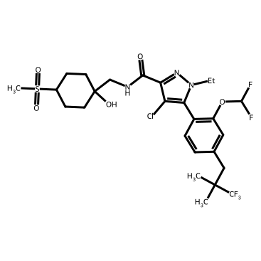 CCn1nc(C(=O)NCC2(O)CCC(S(C)(=O)=O)CC2)c(Cl)c1-c1ccc(CC(C)(C)C(F)(F)F)cc1OC(F)F